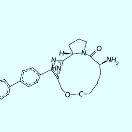 N[C@H]1CCCCOCc2[nH]c(nc2-c2ccc(-c3ccccc3)cc2)[C@@H]2CCCN2C1=O